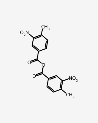 Cc1ccc(C(=O)OC(=O)c2ccc(C)c([N+](=O)[O-])c2)cc1[N+](=O)[O-]